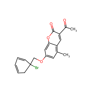 CC(=O)c1cc2c(C)cc(OCC3(Br)C=CC=CC3)cc2oc1=O